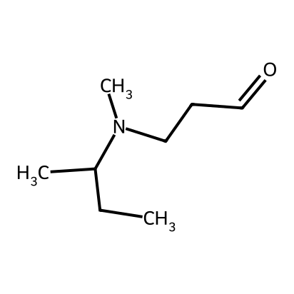 CCC(C)N(C)CCC=O